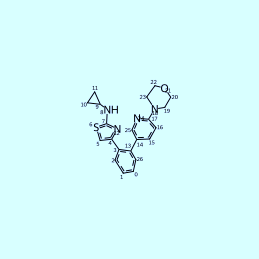 c1ccc(-c2csc(NC3CC3)n2)c(-c2ccc(N3CCOCC3)nc2)c1